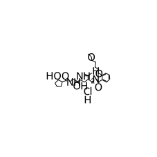 COCCCCOc1ccccc1C(=O)NCC(CC(N)C(O)CNC(=O)C1CCCC1O)C(C)C.Cl